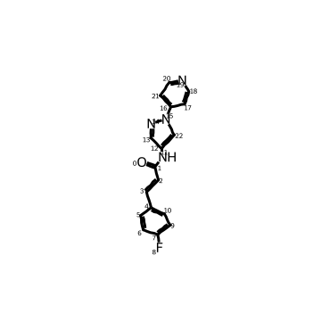 O=C(C=Cc1ccc(F)cc1)Nc1cnn(-c2ccncc2)c1